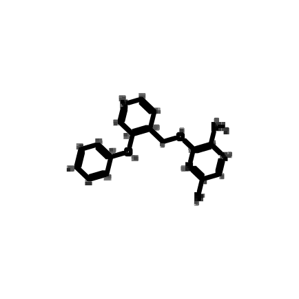 Nc1ncc(Br)nc1OCc1ccncc1Oc1ccccc1